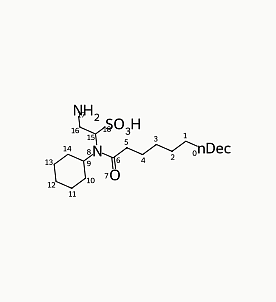 CCCCCCCCCCCCCCCC(=O)N(C1CCCCC1)C(CN)S(=O)(=O)O